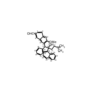 COc1nc2ccc(C=O)cc2cc1C(c1ccccc1)C(O)(CCN(C)C)c1cccc2ccccc12